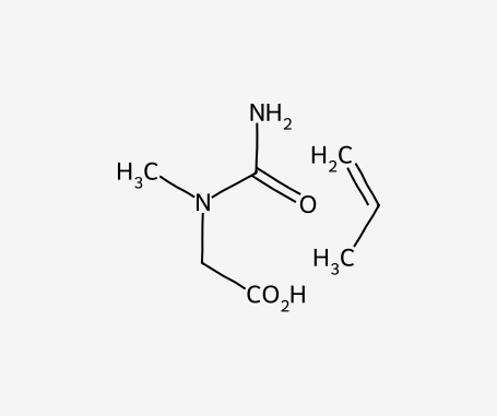 C=CC.CN(CC(=O)O)C(N)=O